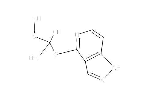 CC(C)(Oc1nccc2[nH]ncc12)SS